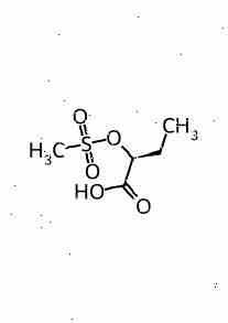 CC[C@H](OS(C)(=O)=O)C(=O)O